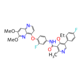 CCOc1c(-c2ccc(F)cc2)cnc(C)c1C(=O)Nc1ccc(Oc2ccnc3cc(OC)c(OC)nc23)c(F)c1